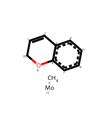 C.C1=Cc2ccccc2OC1.[Mo]